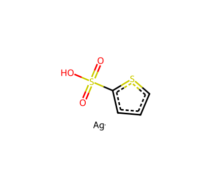 O=S(=O)(O)c1cccs1.[Ag]